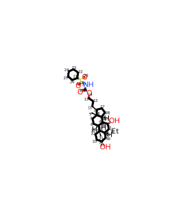 CC[C@H]1[C@@H](O)[C@@H]2[C@H](CC[C@]3(C)[C@@H](CCCOC(=O)NS(=O)(=O)C4CCCCC4)CC[C@@H]23)[C@@]2(C)CC[C@@H](O)C[C@@H]12